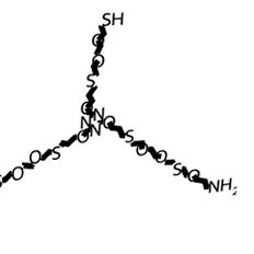 NCCCOCCSCCOCCOCCSCCCOc1nc(OCCCSCCOCCOCCS)nc(OCCCSCCOCCOCCS)n1